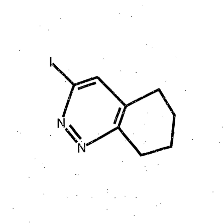 Ic1cc2c(nn1)CCCC2